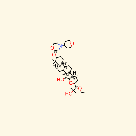 CCO[C@@H](C1C[C@@H](C)[C@H]2C(O1)[C@H](O)[C@@]1(C)C3CC[C@H]4C(C)(C)C(O[C@H]5CN(C6CCOCC6)CCO5)CC[C@@]45C[C@@]35CC[C@]21C)C(C)(C)O